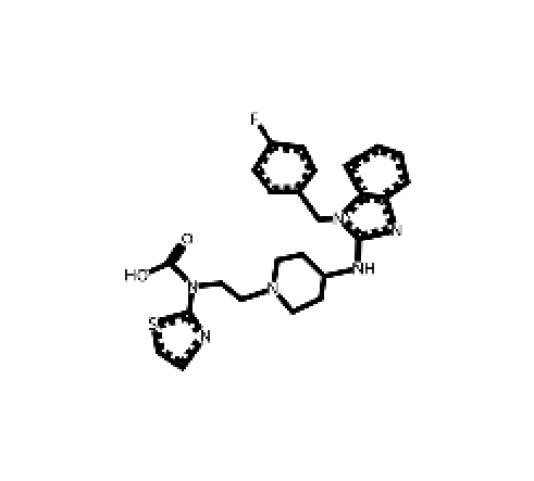 O=C(O)N(CCN1CCC(Nc2nc3ccccc3n2Cc2ccc(F)cc2)CC1)c1nccs1